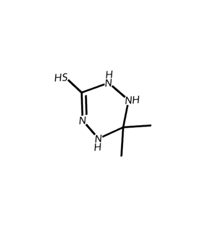 CC1(C)NN=C(S)NN1